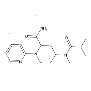 CC(C)C(=O)N(C)C1CCN(c2cc[c]cn2)C(C(N)=O)C1